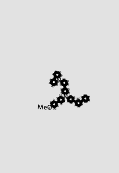 COc1ccc(-c2ccc(N(c3ccc(-c4cccc(-c5ccccc5)c4)cc3)c3ccc(-c4cccc(N5c6ccccc6C6C=CC=CC65)c4)cc3)cc2)cc1